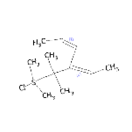 C/C=C\C(=C/C)C(C)(C)S(C)(C)Cl